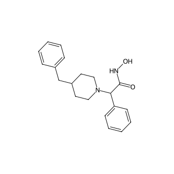 O=C(NO)C(c1ccccc1)N1CCC(Cc2ccccc2)CC1